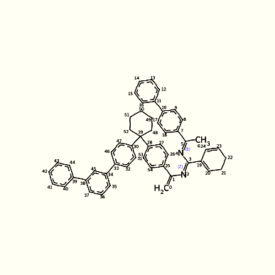 C=C(/N=C(\N=C(/C)c1ccc(-c2ccccc2)cc1)C1=CCCC=C1)c1ccc(C2(c3ccc(-c4cccc(-c5ccccc5)c4)cc3)CCCCC2)cc1